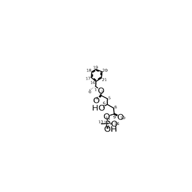 C[C@@H](OC(=O)CC(O)CC(=O)OP(C)(=O)O)c1ccccc1